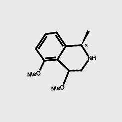 COc1cccc2c1C(OC)CN[C@@H]2C